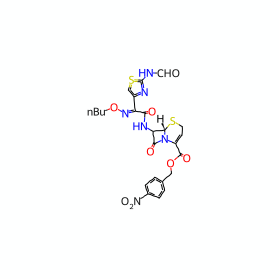 CCCCON=C(C(=O)NC1C(=O)N2C(C(=O)OCc3ccc([N+](=O)[O-])cc3)=CCS[C@@H]12)c1csc(NC=O)n1